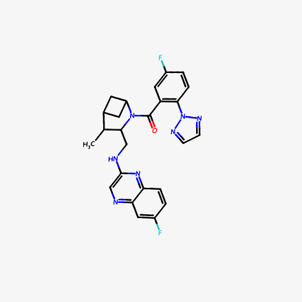 CC1C2CC(C2)N(C(=O)c2cc(F)ccc2-n2nccn2)C1CNc1cnc2cc(F)ccc2n1